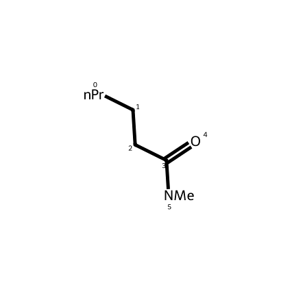 [CH2]CCCCC(=O)NC